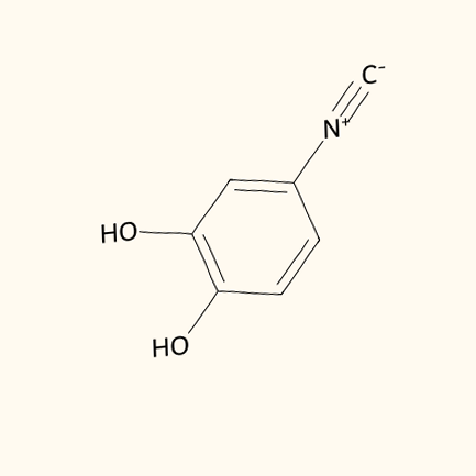 [C-]#[N+]c1ccc(O)c(O)c1